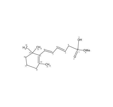 COP(=O)(O)CC=CC=CC1=C(C)CCCC1(C)C